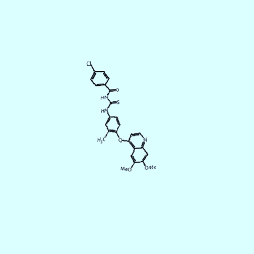 COc1cc2nccc(Oc3ccc(NC(=S)NC(=O)c4ccc(Cl)cc4)cc3C)c2cc1OC